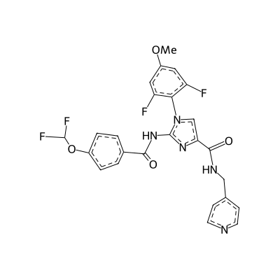 COc1cc(F)c(-n2cc(C(=O)NCc3ccncc3)nc2NC(=O)c2ccc(OC(F)F)cc2)c(F)c1